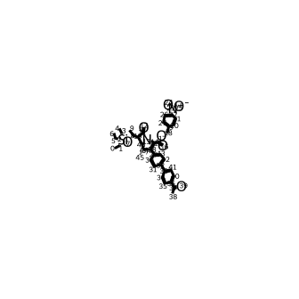 CC[Si](CC)(CC)OC(C)C1C(=O)N2C(C(=O)OCc3ccc([N+](=O)[O-])cc3)=C(c3ccc(-c4ccc(C(C)=O)cc4)cc3)[C@H](C)C12